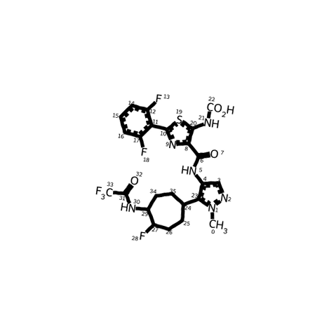 Cn1ncc(NC(=O)c2nc(-c3c(F)cccc3F)sc2NC(=O)O)c1C1CCC(F)C(NC(=O)C(F)(F)F)CC1